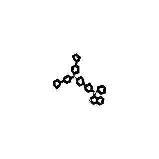 c1ccc(-c2ccc(N(c3ccc(-c4ccccc4)cc3)c3ccc(-c4ccc(N(c5ccccc5)c5cncc6ccccc56)cc4)cc3)cc2)cc1